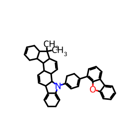 CC1(C)C2C=CC3C(C=CC4C5=CCCC=C5N(C5=CC=C(c6cccc7c6oc6ccccc67)CC5)C43)C2C2CC=CCC21